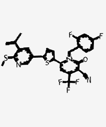 C=C(C)c1cc(-c2ccc(-c3cc(C(F)(F)F)c(C#N)c(=O)n3Cc3ccc(F)cc3F)s2)cnc1SC